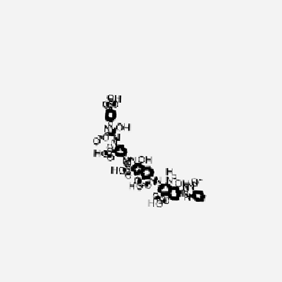 Nc1c(N=Nc2ccc3c(O)c(N=Nc4ccc(N=Nc5c(OC=O)nn(-c6ccc(S(=O)(=O)O)cc6)c5O)c(S(=O)(=O)O)c4)c(S(=O)(=O)O)cc3c2S(=O)(=O)O)cc(S(=O)(=O)O)c2ccc(N=Nc3ccccc3[N+](=O)[O-])c(O)c12